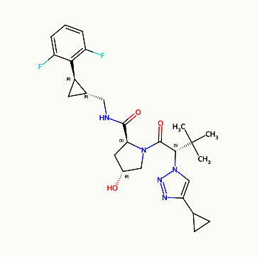 CC(C)(C)[C@@H](C(=O)N1C[C@H](O)C[C@H]1C(=O)NC[C@@H]1C[C@H]1c1c(F)cccc1F)n1cc(C2CC2)nn1